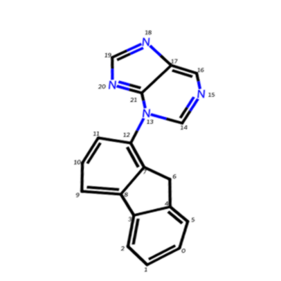 c1ccc2c(c1)Cc1c-2cccc1-n1cncc2ncnc1-2